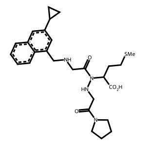 CSCCC(C(=O)O)N(NCC(=O)N1CCCC1)C(=O)CNCc1cc(C2CC2)cc2ccccc12